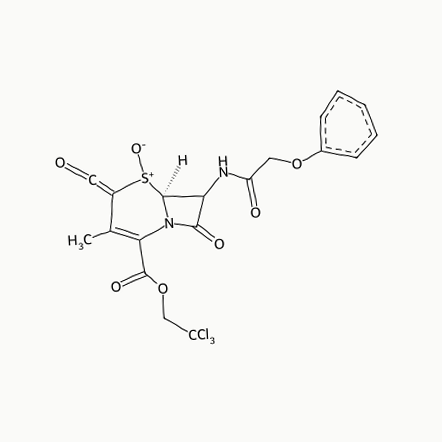 CC1=C(C(=O)OCC(Cl)(Cl)Cl)N2C(=O)C(NC(=O)COc3ccccc3)[C@@H]2[S+]([O-])C1=C=O